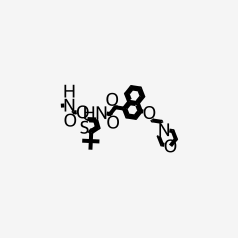 CNC(=O)Oc1sc(C(C)(C)C)cc1NC(=O)C(=O)c1ccc(OCCN2CCOCC2)c2ccccc12